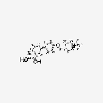 CC(C)(C)N1CCC(COc2ccc(-c3ccc4c(c3)C(O)C(O)S4)cc2)CC1